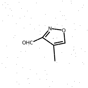 Cc1conc1C=O